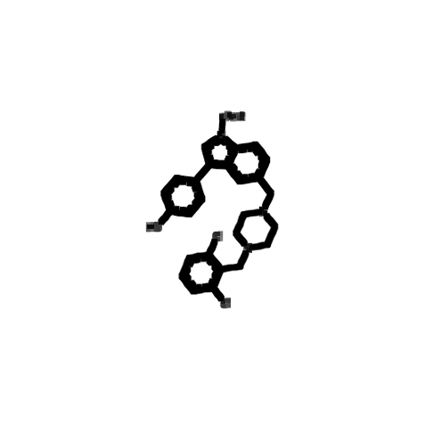 CCCCCn1cc(-c2ccc(O)cc2)c2cc(CN3CCN(Cc4c(Cl)cccc4Cl)CC3)ccc21